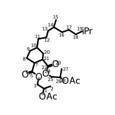 CC(=O)OC(C)COC(=O)C1CCC(CCCC(C)CCCC(C)C)CC1C(=O)OCC(C)OC(C)=O